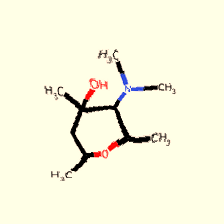 CC1CC(C)(O)C(N(C)C)C(C)O1